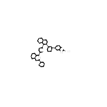 Cc1nc2cc(-c3cccc(-c4ccc5ccccc5c4-c4ccc(-c5nc(-c6ccccc6)cc6ccccc56)cc4)c3)ccc2o1